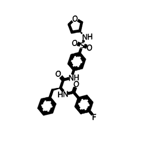 O=C(N[C@@H](Cc1ccccc1)C(=O)Nc1ccc(S(=O)(=O)N[C@@H]2CCOC2)cc1)c1ccc(F)cc1